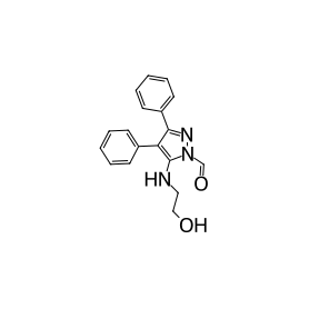 O=Cn1nc(-c2ccccc2)c(-c2ccccc2)c1NCCO